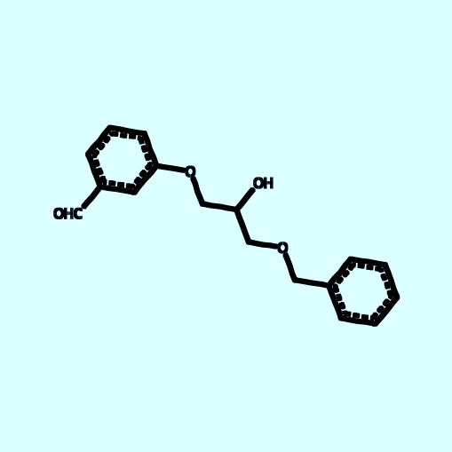 O=Cc1cccc(OCC(O)COCc2ccccc2)c1